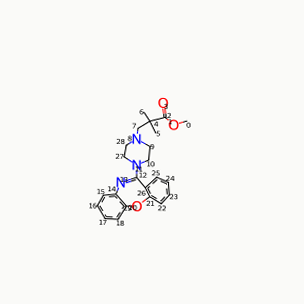 COC(=O)C(C)(C)CN1CCN(C2=Nc3ccccc3Oc3ccccc32)CC1